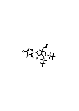 C=CC[C@]1(CO[Si](C)(C)C(C)(C)C)O[C@@H](n2ccc(=O)n(C)c2=O)[C@H](F)C1O[Si](C)(C)C(C)(C)C